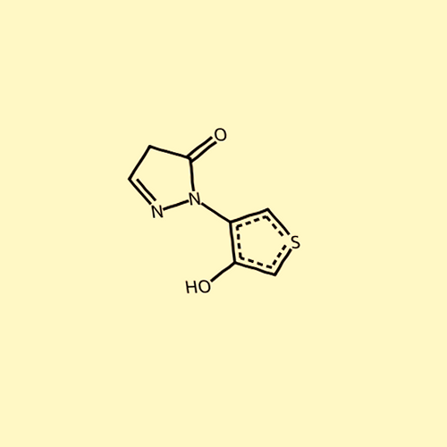 O=C1CC=NN1c1cscc1O